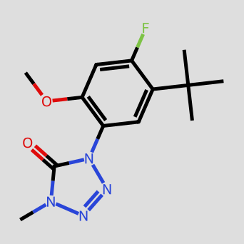 COc1cc(F)c(C(C)(C)C)cc1-n1nnn(C)c1=O